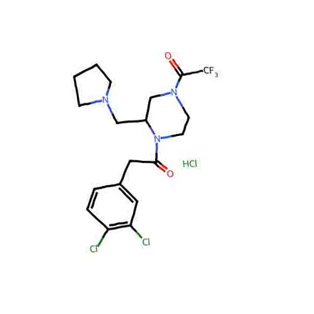 Cl.O=C(Cc1ccc(Cl)c(Cl)c1)N1CCN(C(=O)C(F)(F)F)CC1CN1CCCC1